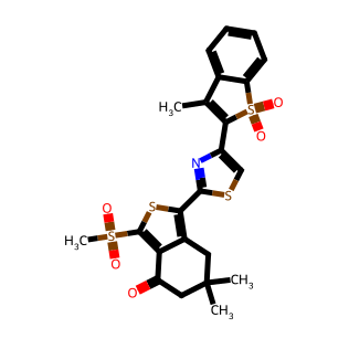 CC1=C(c2csc(-c3sc(S(C)(=O)=O)c4c3CC(C)(C)CC4=O)n2)S(=O)(=O)c2ccccc21